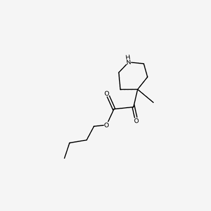 CCCCOC(=O)C(=O)C1(C)CCNCC1